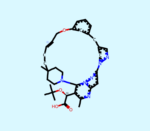 Cc1nc2cc3nn2c(c1[C@H](OC(C)(C)C)C(=O)O)N1CCC(C)(CC/C=C/COc2cccc(c2)Cc2cnn-3c2)CC1